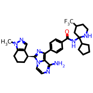 Cn1ncc2c1CCC[C@@H]2c1nc(-c2ccc(C(=O)NC3(C4CCCC4)CC(C(F)(F)F)CCN3)cc2)c2c(N)nccn12